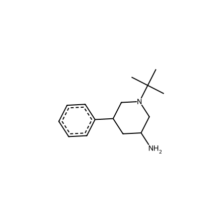 CC(C)(C)N1CC(N)CC(c2ccccc2)C1